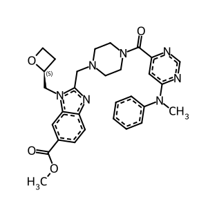 COC(=O)c1ccc2nc(CN3CCN(C(=O)c4cc(N(C)c5ccccc5)ncn4)CC3)n(C[C@@H]3CCO3)c2c1